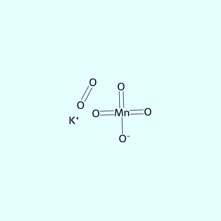 O=O.[K+].[O]=[Mn](=[O])(=[O])[O-]